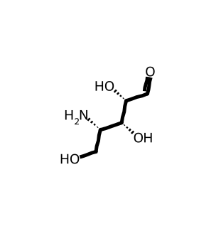 N[C@@H](CO)[C@@H](O)[C@H](O)C=O